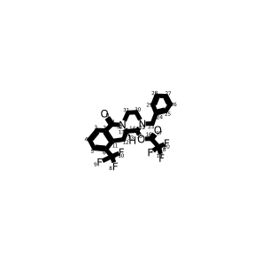 O=C1c2cccc(C(F)(F)F)c2C[C@@H]2C(OC(=O)C(F)(F)F)N(Cc3ccccc3)CCN12